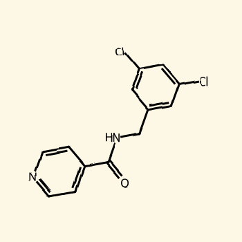 O=C(NCc1cc(Cl)cc(Cl)c1)c1ccncc1